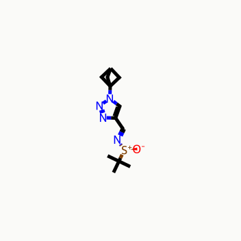 CC(C)(C)[S@+]([O-])/N=C/c1cn(C23CC(C2)C3)nn1